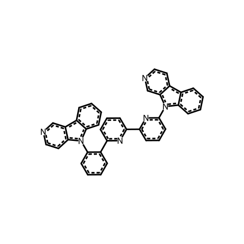 c1cc(-c2cccc(-n3c4ccccc4c4ccncc43)n2)nc(-c2ccccc2-n2c3ccccc3c3cnccc32)c1